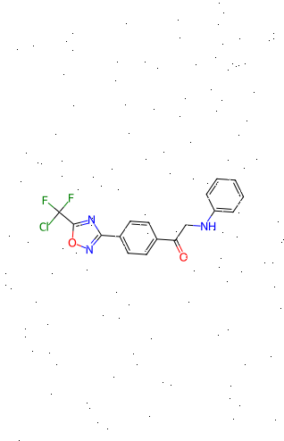 O=C(CNc1ccccc1)c1ccc(-c2noc(C(F)(F)Cl)n2)cc1